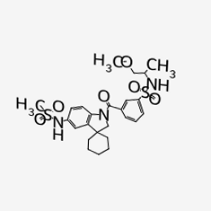 COCC(C)NS(=O)(=O)c1cccc(C(=O)N2CC3(CCCCC3)c3cc(NS(C)(=O)=O)ccc32)c1